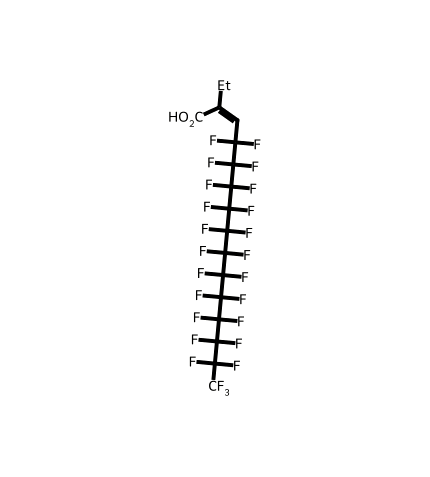 CCC(=CC(F)(F)C(F)(F)C(F)(F)C(F)(F)C(F)(F)C(F)(F)C(F)(F)C(F)(F)C(F)(F)C(F)(F)C(F)(F)C(F)(F)F)C(=O)O